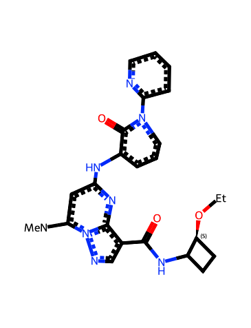 CCO[C@H]1CCC1NC(=O)c1cnn2c(NC)cc(Nc3cccn(-c4ccccn4)c3=O)nc12